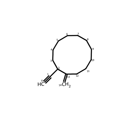 C#C[C]1CCCCCCCCCCC1=C